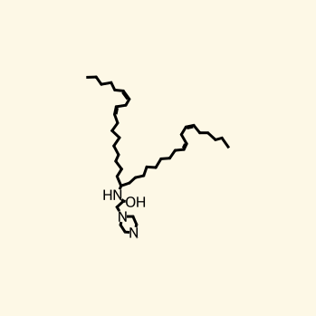 CCCCC/C=C\C/C=C\CCCCCCCCC(CCCCCCCC/C=C\C/C=C\CCCCC)NC(O)CN1CCN(C)CC1